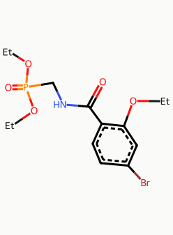 CCOc1cc(Br)ccc1C(=O)NCP(=O)(OCC)OCC